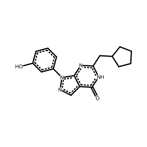 O=c1[nH]c(CC2CCCC2)nc2c1cnn2-c1cccc(O)c1